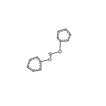 c1ccc(O[Si]Oc2ccccc2)cc1